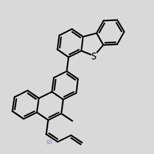 C=C/C=C\c1c(C)c2ccc(-c3cccc4c3sc3ccccc34)cc2c2ccccc12